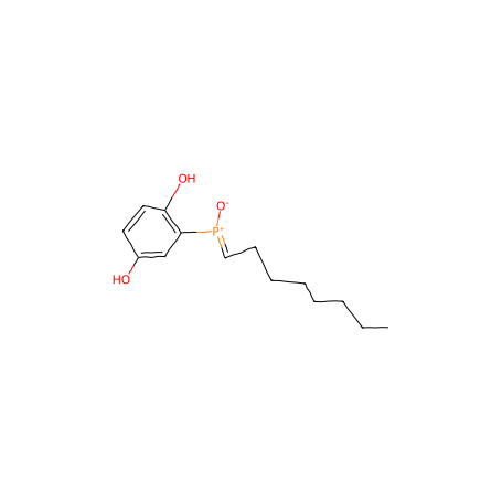 CCCCCCC/C=[P+](\[O-])c1cc(O)ccc1O